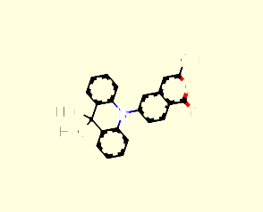 Cc1cc2cc(N3c4ccccc4C(C)(C)c4ccccc43)ccc2c(=O)o1